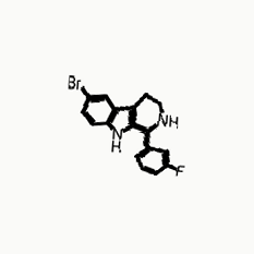 Fc1cccc(C2NCCc3c2[nH]c2ccc(Br)cc32)c1